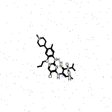 CCCOc1cc(C2CCN(C)CC2)c(C)cc1Nc1ncc(Cl)c(N/C(=C/NC)C(=N)S(=O)(=O)C(C)C)n1